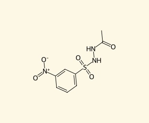 CC(=O)NNS(=O)(=O)c1cccc([N+](=O)[O-])c1